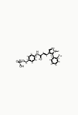 Cn1ncc(C=CC(=O)Nc2ccc(CO[PH](=O)O)cc2)c1-c1ccccc1F